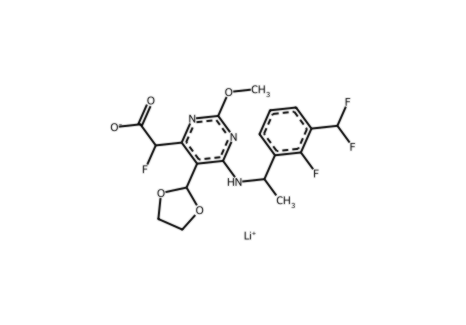 COc1nc(NC(C)c2cccc(C(F)F)c2F)c(C2OCCO2)c(C(F)C(=O)[O-])n1.[Li+]